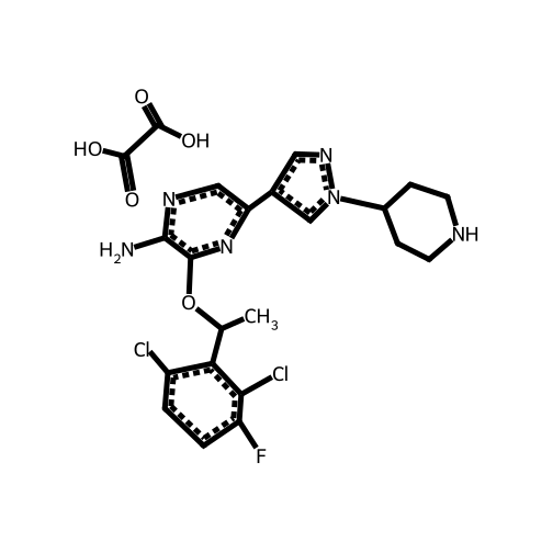 CC(Oc1nc(-c2cnn(C3CCNCC3)c2)cnc1N)c1c(Cl)ccc(F)c1Cl.O=C(O)C(=O)O